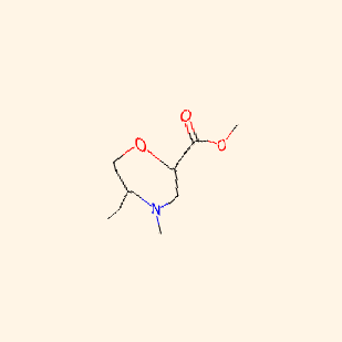 COC(=O)C1CN(C)C(C)CO1